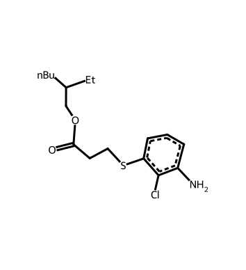 CCCCC(CC)COC(=O)CCSc1cccc(N)c1Cl